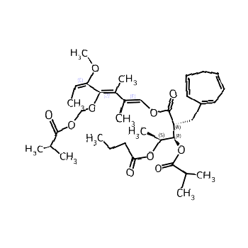 C\C=C(OC)/C(OCOC(=O)C(C)C)=C(C)/C(C)=C/OC(=O)[C@H](CC1=CC=CCC=C1)[C@@H](OC(=O)C(C)C)[C@H](C)OC(=O)CCC